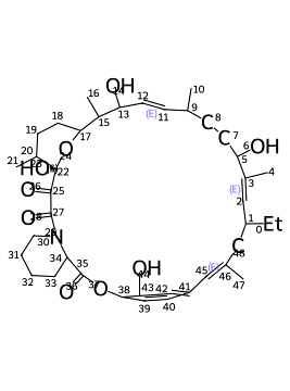 CCC1/C=C(\C)C(O)CCC(C)/C=C/C(O)C(C)C2CCC(C)[C@](O)(O2)C(=O)C(=O)N2CCCCC2C(=O)OC2C=CC(=CC2O)/C=C(\C)C1